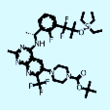 CC[Si](CC)(CC)OC(C)(C)C(F)(F)c1cccc([C@@H](C)Nc2nc(C)nc3nc(C(F)(F)F)c(N4CCN(C(=O)OC(C)(C)C)CC4)cc23)c1F